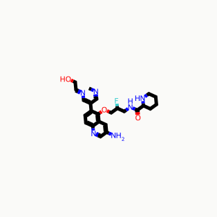 C\N=C/C(=C\N=C\CO)c1ccc2ncc(N)cc2c1OCC(F)CNC(=O)C1CCCCN1